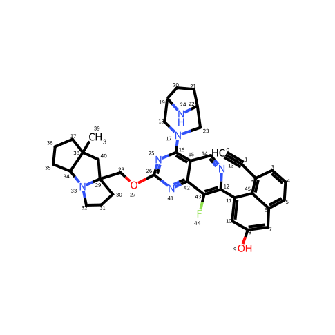 C#Cc1cccc2cc(O)cc(-c3ncc4c(N5CC6CCC(C5)N6)nc(OCC56CCCN5C5CCCC5(C)C6)nc4c3F)c12